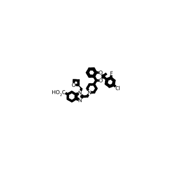 CC1(c2ccc(Cl)cc2F)Oc2ccccc2C(C2CCN(Cc3nc4c(n3C[C@@H]3CCO3)CC(C(=O)O)CC4)CC2)O1